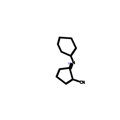 N#CC1CCC/C1=N\C1CCCCC1